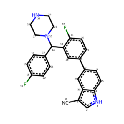 N#Cc1c[nH]c2ccc(-c3ccc(F)c(C(c4ccc(F)cc4)N4CCNCC4)c3)cc12